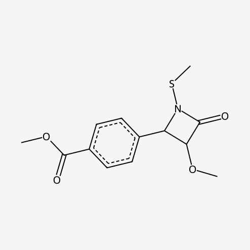 COC(=O)c1ccc(C2C(OC)C(=O)N2SC)cc1